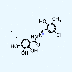 Cc1cc(Cl)cc(/C=N/NC(=O)c2ccc(O)c(O)c2O)c1O